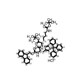 CC(C)(C)OC(=O)NCCCC[C@H](NC(=O)[C@H](Cc1cn(C(c2ccccc2)(c2ccccc2)c2ccccc2)cn1)NC(=O)OCC1c2ccccc2-c2ccccc21)C(=O)OC(C)(C)C.Cl